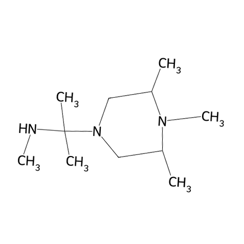 CNC(C)(C)N1CC(C)N(C)C(C)C1